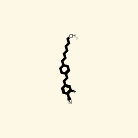 CCCCCCCCC1CC=C(CCc2ccc(C#N)c(F)c2)CC1